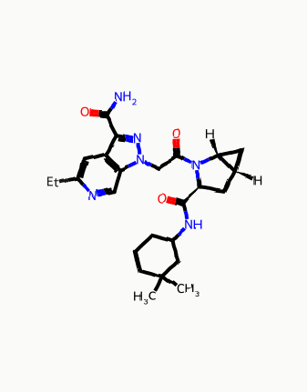 CCc1cc2c(C(N)=O)nn(CC(=O)N3[C@@H]4C[C@@H]4C[C@H]3C(=O)NC3CCCC(C)(C)C3)c2cn1